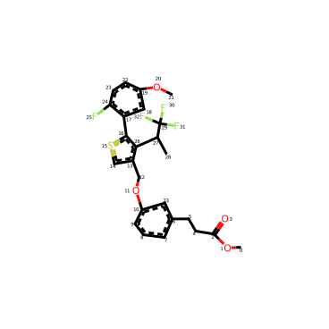 COC(=O)CCc1cccc(OCc2csc(-c3cc(OC)ccc3F)c2C(C)C(F)(F)F)c1